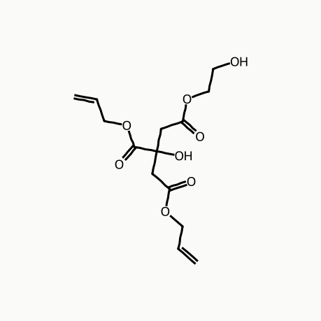 C=CCOC(=O)CC(O)(CC(=O)OCCO)C(=O)OCC=C